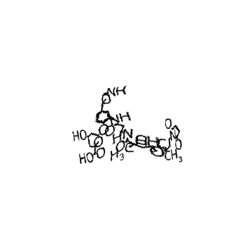 CC(C)(CCN1C(=O)C=CC1=O)OCCC(C)(C)C(=O)NCCC(=O)Nc1cc(COC=N)ccc1OC1CC(O)CC(C(=O)O)O1